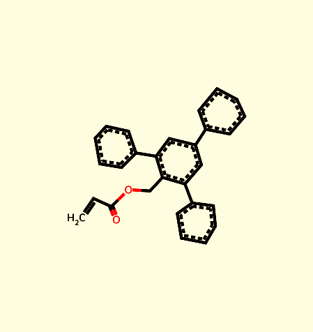 C=CC(=O)OCc1c(-c2ccccc2)cc(-c2ccccc2)cc1-c1ccccc1